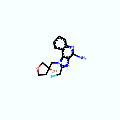 Nc1nc2ccccc2c2c1nc(CF)n2CC1(O)CCOC1